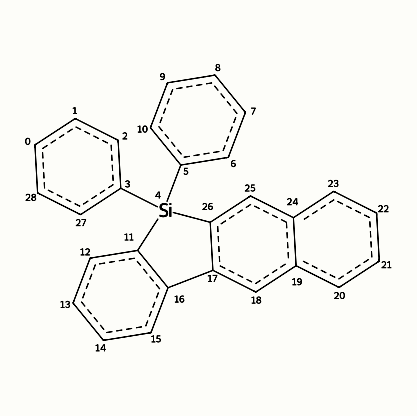 c1ccc([Si]2(c3ccccc3)c3ccccc3-c3cc4ccccc4cc32)cc1